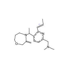 C=C1COCCCN1C(C)c1ccc(CN(C)C)nc1/C=C/C